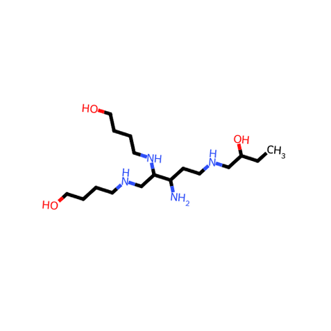 CCC(O)CNCCC(N)C(CNCCCCO)NCCCCO